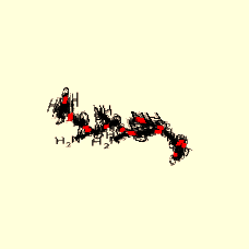 NCCCC[C@H](NC(=O)CNC(=O)CCCC[C@@H]1SC[C@@H]2NC(=O)N[C@@H]21)C(=O)NCC(=O)N[C@@H](CCCCN)C(=O)NCC(=O)N[C@@H](CCCCN)C(=O)NCC(=O)N[C@@H](CCCCNC(=O)c1c(O)ccc2c1oc1cc(=O)ccc-1[n+]2[O-])C(=O)NCC(N)=O